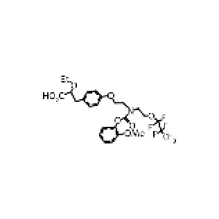 CCOC(Cc1ccc(OCCN(CCOC(F)(F)C(F)(F)C(F)(F)F)C(=O)Oc2ccccc2OC)cc1)C(=O)O